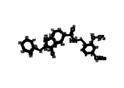 COc1ccc(CNC(=O)c2ccc3nn(Cc4ccccn4)c(=O)n3c2)c(OC(F)(F)F)c1